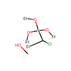 CCO[Si](OCC)(OCC)C(Cl)CC.CO